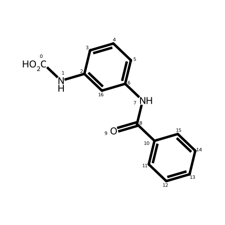 O=C(O)Nc1cccc(NC(=O)c2ccccc2)c1